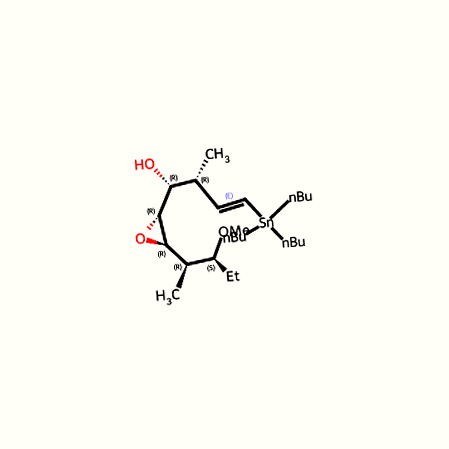 CCC[CH2][Sn](/[CH]=C/[C@@H](C)[C@@H](O)[C@H]1O[C@@H]1[C@H](C)[C@H](CC)OC)([CH2]CCC)[CH2]CCC